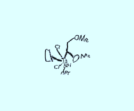 CCC[NH][Ta]([Cl])([Cl])([Cl])[CH](COC)OC